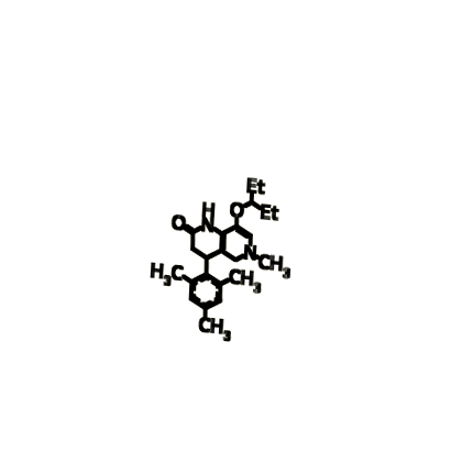 CCC(CC)OC1=CN(C)CC2=C1NC(=O)CC2c1c(C)cc(C)cc1C